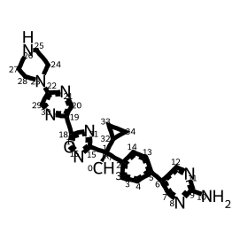 C[C@@](c1ccc(-c2cnc(N)nc2)cc1)(c1noc(-c2cnc(N3CCNCC3)cn2)n1)C1CC1